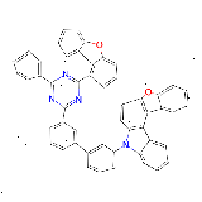 c1ccc(-c2nc(-c3cccc(-c4cccc(-n5c6ccccc6c6c7c(ccc65)oc5ccccc57)c4)c3)nc(-c3cccc4oc5ccccc5c34)n2)cc1